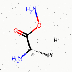 CC(C)[C@H](N)C(=O)ON.[H+]